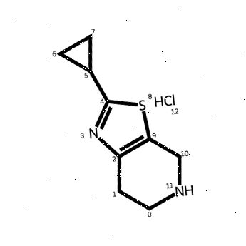 C1Cc2nc(C3CC3)sc2CN1.Cl